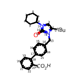 CC(C)(C)c1cn(C2CCCCC2)c(=O)n1Cc1ccc(-c2ccccc2C(=O)O)cc1